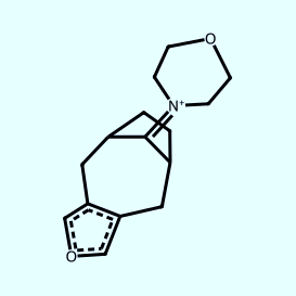 c1occ2c1CC1CCC(C2)C1=[N+]1CCOCC1